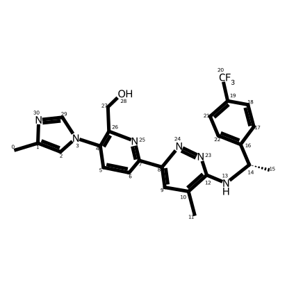 Cc1cn(-c2ccc(-c3cc(C)c(N[C@@H](C)c4ccc(C(F)(F)F)cc4)nn3)nc2CO)cn1